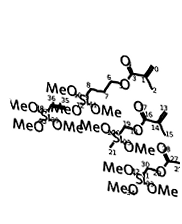 C=C(C)C(=O)OCCC[Si](OC)(OC)OC.C=C(C)C(=O)OC[Si](C)(OC)OC.C=C(C)C(=O)OC[Si](OC)(OC)OC.C=C[Si](OC)(OC)OC